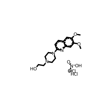 COc1cc2ccc(N3CCN(CCO)CC3)nc2cc1OC.Cl.Cl.O=[N+]([O-])O